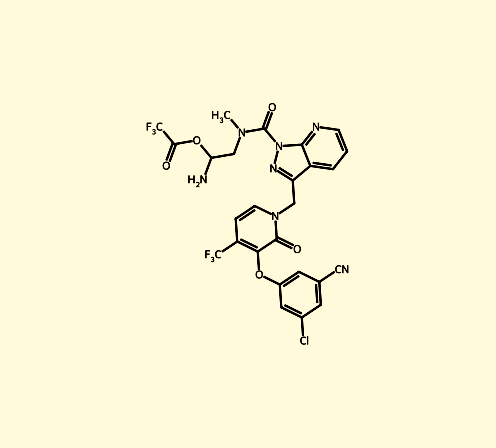 CN(CC(N)OC(=O)C(F)(F)F)C(=O)n1nc(Cn2ccc(C(F)(F)F)c(Oc3cc(Cl)cc(C#N)c3)c2=O)c2cccnc21